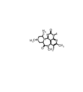 Cc1nc2c3c(nc(=O)n2I)N2C(C)CN(C)CC2C(=O)N(C)c3c1F